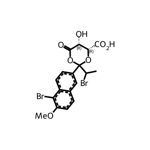 COc1ccc2cc(C3(C(C)Br)OC(=O)[C@H](O)[C@H](C(=O)O)O3)ccc2c1Br